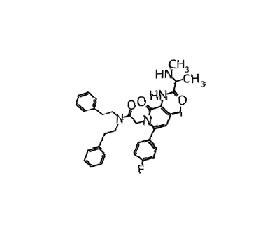 CNC(C)C(=O)Nc1c(I)cc(-c2ccc(F)cc2)n(CC(=O)N(CCc2ccccc2)CCc2ccccc2)c1=O